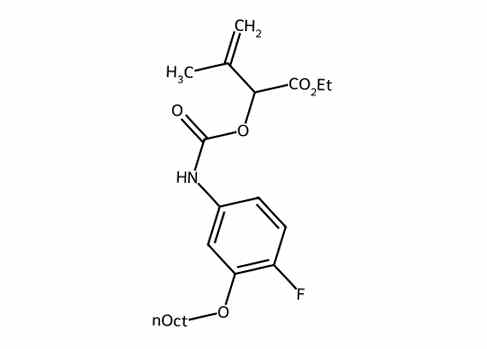 C=C(C)C(OC(=O)Nc1ccc(F)c(OCCCCCCCC)c1)C(=O)OCC